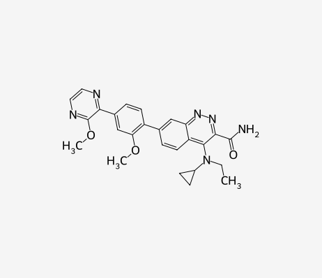 CCN(c1c(C(N)=O)nnc2cc(-c3ccc(-c4nccnc4OC)cc3OC)ccc12)C1CC1